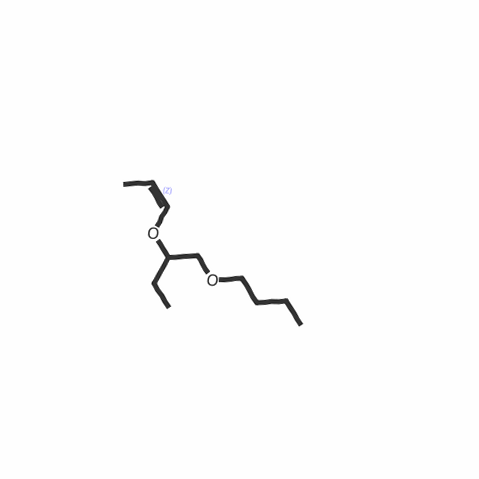 C/C=C\OC(CC)COCCCC